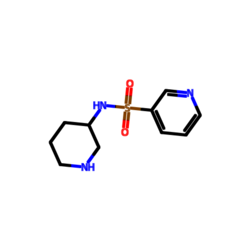 O=S(=O)(NC1CCCNC1)c1cccnc1